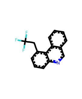 FC(F)(F)Cc1cccc2ncc3ccccc3c12